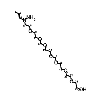 C/C=C/N(N)CCOCCOCOCCOCOCCOCCOCCO